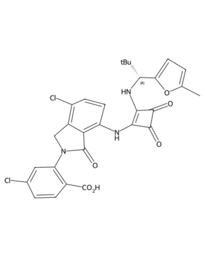 Cc1ccc([C@H](Nc2c(Nc3ccc(Cl)c4c3C(=O)N(c3cc(Cl)ccc3C(=O)O)C4)c(=O)c2=O)C(C)(C)C)o1